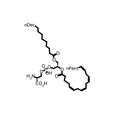 CCCCC/C=C\C/C=C\C/C=C\C/C=C\CCCC(=O)O[C@H](COC(=O)CCCCCCCCCCCCCCCCCC)COP(=O)(O)OC[C@H](N)C(=O)O